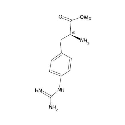 COC(=O)[C@@H](N)Cc1ccc(NC(=N)N)cc1